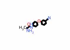 CC(N)C(=O)Nc1ccc(Oc2cccc(C#N)c2)cc1